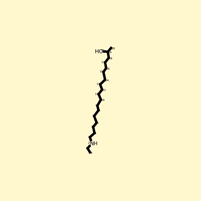 CCNCCCCCCCCCCCCCCCCC(C)O